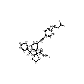 CC(C)CNc1ncc(C#Cc2cccc(C3(C(N)=O)OCCN3C(C)(C)c3ccccc3)c2)cn1